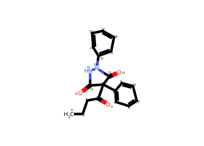 CCCC(=O)C1(c2ccccc2)C(=O)NN(c2ccccc2)C1=O